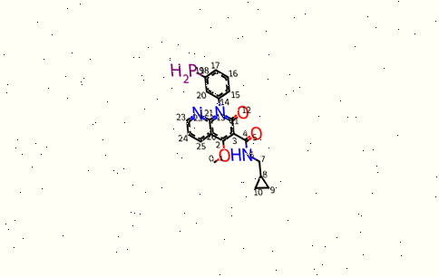 COc1c(C(=O)NCC2CC2)c(=O)n(-c2cccc(P)c2)c2ncccc12